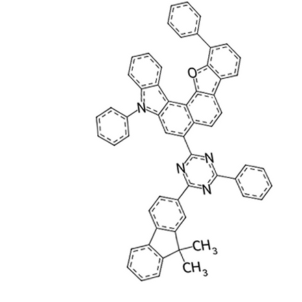 CC1(C)c2ccccc2-c2ccc(-c3nc(-c4ccccc4)nc(-c4cc5c(c6ccccc6n5-c5ccccc5)c5c4ccc4c6cccc(-c7ccccc7)c6oc45)n3)cc21